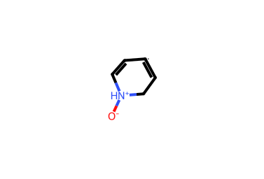 [O-][NH+]1C=C[C]=CC1